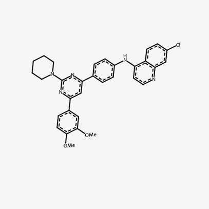 COc1ccc(-c2cc(-c3ccc(Nc4ccnc5cc(Cl)ccc45)cc3)nc(N3CCCCC3)n2)cc1OC